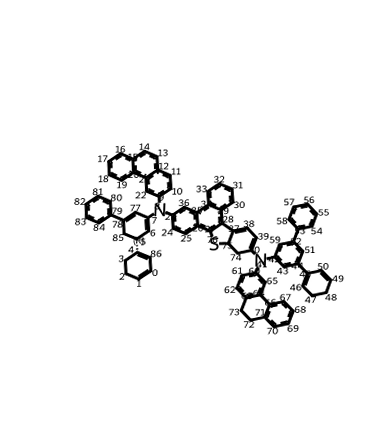 C1=CCCC([C@H]2C=C(N(c3ccc4ccc5ccccc5c4c3)c3ccc4c5c(c6ccccc6c4c3)C3=CC=C(N(c4cc(C6=CCCC=C6)cc(-c6ccccc6)c4)c4ccc6c(c4)-c4ccccc4CC6)CC3S5)C=C(c3ccccc3)C2)=C1